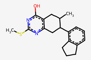 CSc1nc(O)c2c(n1)CC(c1cccc3c1CCC3)C(C)C2